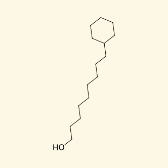 OCCCCCCCCCC1CCCCC1